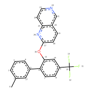 Cc1cccc(-c2ccc(C(F)(F)F)cc2Oc2ccc3cnccc3n2)c1